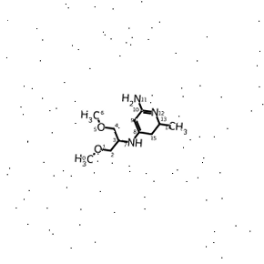 COCC(COC)NC1=CC(N)=NC(C)C1